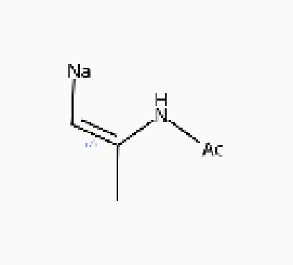 CC(=O)N/C(C)=[CH]\[Na]